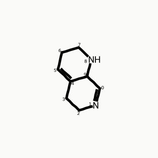 C1=NCCC2=CCCNC12